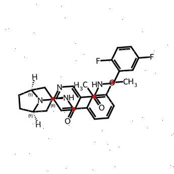 COc1cccc(C(=O)N[C@H]2C[C@H]3CC[C@@H](C2)N3c2ccc(C(=O)NCc3cc(F)ccc3F)cn2)c1C